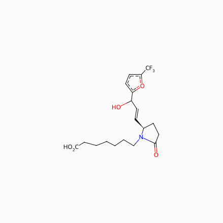 O=C(O)CCCCCCN1C(=O)CC[C@@H]1C=CC(O)c1ccc(C(F)(F)F)o1